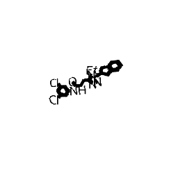 CCn1c(CCC(=O)Nc2cc(Cl)cc(Cl)c2)nnc1C1Cc2ccccc2C1